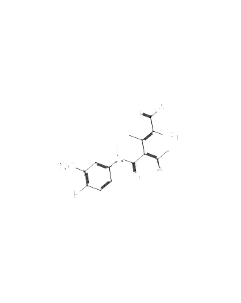 CCC/C(C(=O)C(C)=O)=C(C)\C(C(=O)Nc1ccc(F)c(C#N)c1)=C(/C)Cl